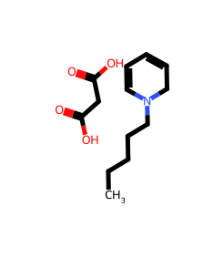 CCCCCN1C=CC=CC1.O=C(O)CC(=O)O